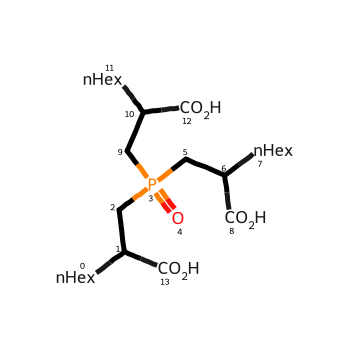 CCCCCCC(CP(=O)(CC(CCCCCC)C(=O)O)CC(CCCCCC)C(=O)O)C(=O)O